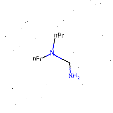 CCCN(CN)CCC